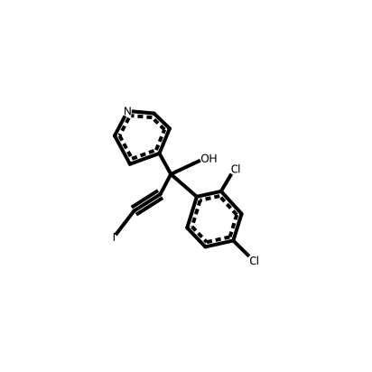 OC(C#CI)(c1ccncc1)c1ccc(Cl)cc1Cl